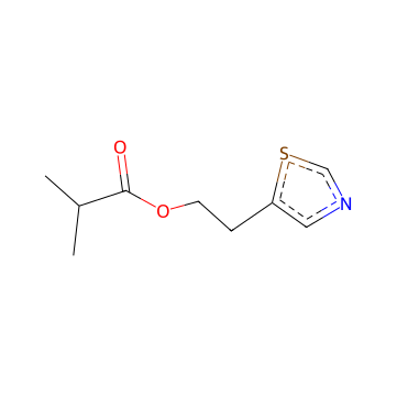 CC(C)C(=O)OCCc1cncs1